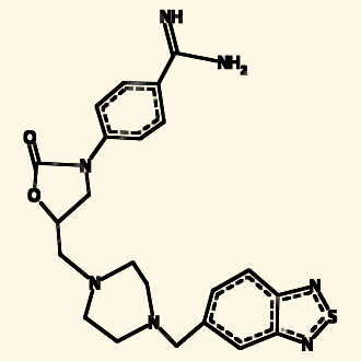 N=C(N)c1ccc(N2CC(CN3CCN(Cc4ccc5nsnc5c4)CC3)OC2=O)cc1